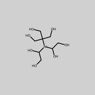 OCC(O)[N+](C(O)CO)C(CO)(CO)CO